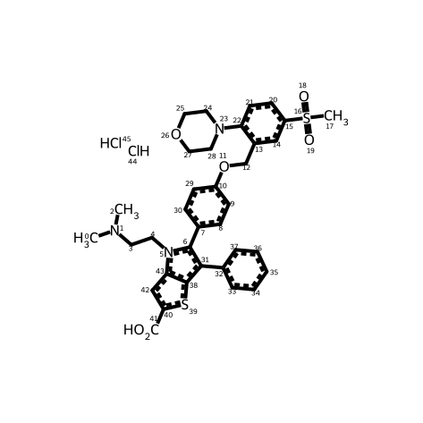 CN(C)CCn1c(-c2ccc(OCc3cc(S(C)(=O)=O)ccc3N3CCOCC3)cc2)c(-c2ccccc2)c2sc(C(=O)O)cc21.Cl.Cl